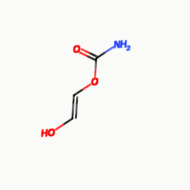 NC(=O)OC=CO